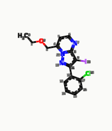 CCOCc1ccnc2c(I)c(-c3ccccc3Cl)nn12